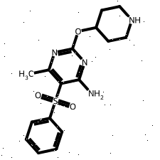 Cc1nc(OC2CCNCC2)nc(N)c1S(=O)(=O)c1ccccc1